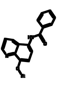 CCOc1ccc(NC(=O)c2ccccc2)c2cccnc12